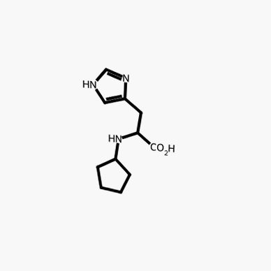 O=C(O)C(Cc1c[nH]cn1)NC1CCCC1